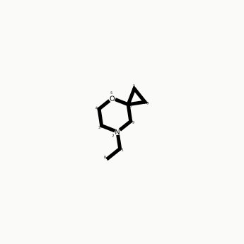 CCN1CCOC2(CC2)C1